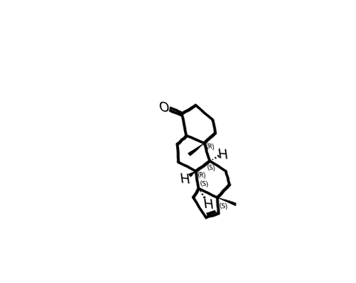 C[C@@]12C=CC[C@H]1[C@@H]1CCC3C(=O)CCC[C@]3(C)[C@H]1CC2